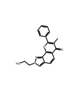 O=c1c(I)c(-c2ccccc2)oc2c1ccc1cn(CCO)nc12